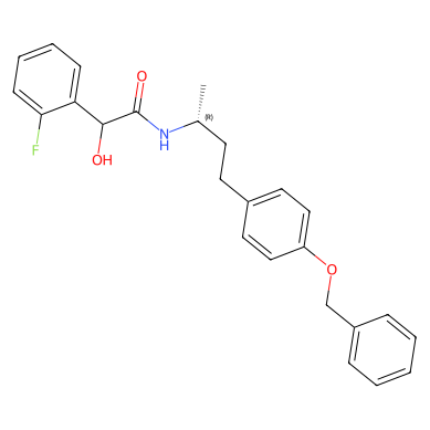 C[C@H](CCc1ccc(OCc2ccccc2)cc1)NC(=O)C(O)c1ccccc1F